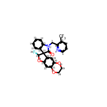 O=C1N(Cc2ncccc2C(F)(F)F)c2ccccc2C12c1cc3c(cc1OC2F)OCCO3